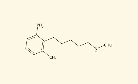 Cc1cccc(P)c1CCCCCNC=O